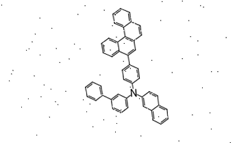 c1ccc(-c2cccc(N(c3ccc(-c4cc5ccc6ccccc6c5c5ccccc45)cc3)c3ccc4ccccc4c3)c2)cc1